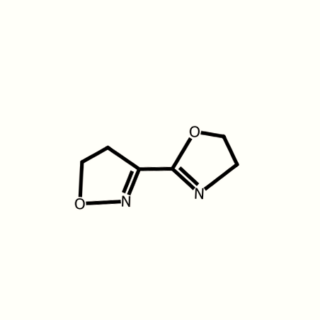 C1COC(C2=NOCC2)=N1